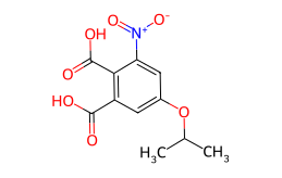 CC(C)Oc1cc(C(=O)O)c(C(=O)O)c([N+](=O)[O-])c1